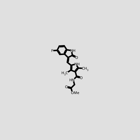 COC(=O)CNC(=O)c1c(C)[nH]c(/C=C2\C(=O)Nc3ccc(F)cc32)c1C